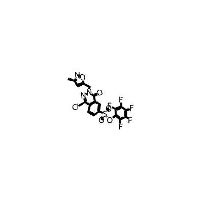 Cc1cc(Cn2nc(Cl)c3ccc(S(=O)(=O)Oc4c(F)c(F)c(F)c(F)c4F)cc3c2=O)on1